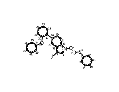 Ic1cn(OOSc2ccccc2)c2ncc(-c3ccccc3Oc3ccccc3)cc12